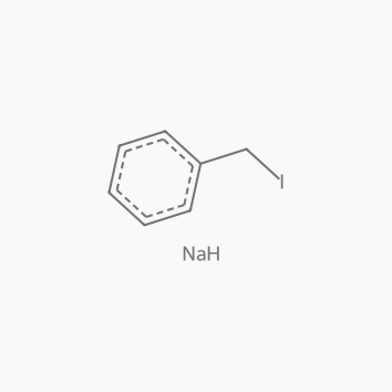 ICc1ccccc1.[NaH]